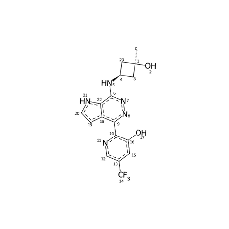 C[C@]1(O)C[C@@H](Nc2nnc(-c3ncc(C(F)(F)F)cc3O)c3cc[nH]c23)C1